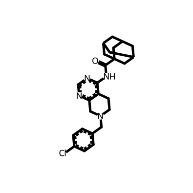 O=C(Nc1ncnc2c1CCN(Cc1ccc(Cl)cc1)C2)C12CC3CC(CC(C3)C1)C2